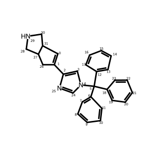 C1=C(c2cn(C(c3ccccc3)(c3ccccc3)c3ccccc3)cn2)CC2CNCC12